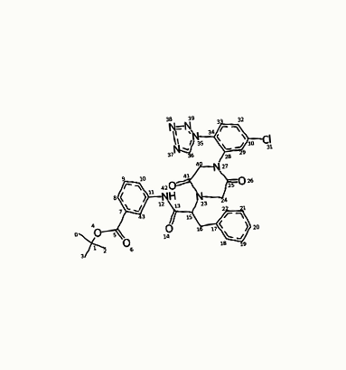 CC(C)(C)OC(=O)c1cccc(NC(=O)C(Cc2ccccc2)N2CC(=O)N(c3cc(Cl)ccc3-n3cnnn3)CC2=O)c1